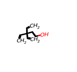 C=CC(C=C)(C=C)CCO